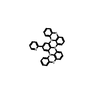 c1ccc(-c2cc3c4c(c2)N2c5ccccc5Sc5cccc(c52)B4c2cccc4c2N3c2ccccc2S4)nc1